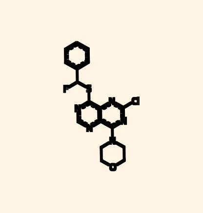 FC(Sc1ncnc2c(N3CCOCC3)nc(Cl)nc12)c1ccccc1